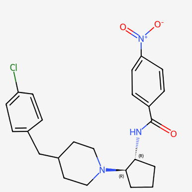 O=C(N[C@@H]1CCC[C@H]1N1CCC(Cc2ccc(Cl)cc2)CC1)c1ccc([N+](=O)[O-])cc1